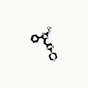 N#C/N=C1N=C(c2ccccc2)/C(=C/c2cnc(N3CCOCC3)s2)S\1